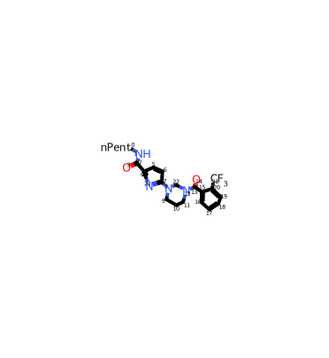 CCCCCNC(=O)c1ccc(N2CCCN(C(=O)c3ccccc3C(F)(F)F)C2)nc1